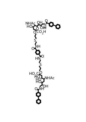 CC(=O)NC(C[C@@H](O)[C@H](O)CNC(=O)c1ccc(-c2ccccc2)cc1)C(O)CC(O)(OCCCSCCNC(=O)c1ccc(C(=O)NCCSCCCOC2(C(=O)O)CC(O)C(NC(C)=O)C([C@H](O)[C@@H](O)CNC(=O)c3ccc(-c4ccccc4)cc3)O2)cc1)C(=O)O